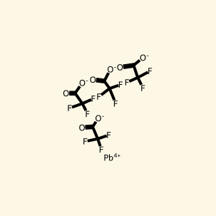 O=C([O-])C(F)(F)F.O=C([O-])C(F)(F)F.O=C([O-])C(F)(F)F.O=C([O-])C(F)(F)F.[Pb+4]